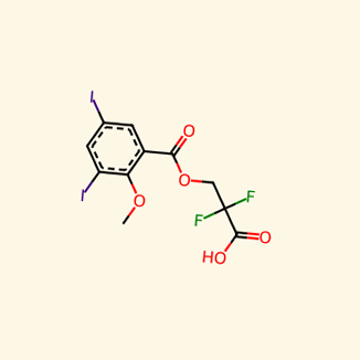 COc1c(I)cc(I)cc1C(=O)OCC(F)(F)C(=O)O